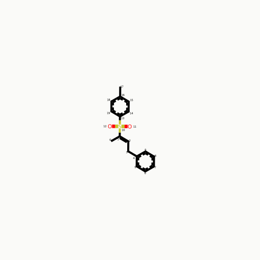 C/C(=C\Cc1ccccc1)S(=O)(=O)c1ccc(C)cc1